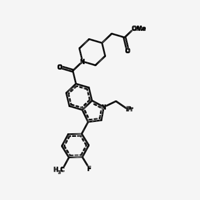 COC(=O)CC1CCN(C(=O)c2ccc3c(-c4ccc(C)c(F)c4)cn(CC(C)C)c3c2)CC1